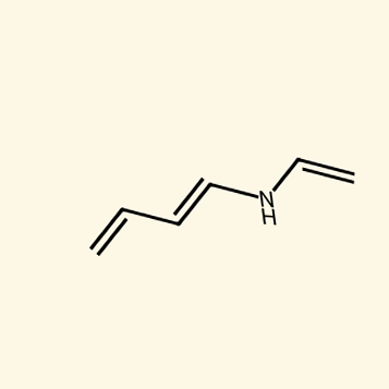 C=CC=CNC=C